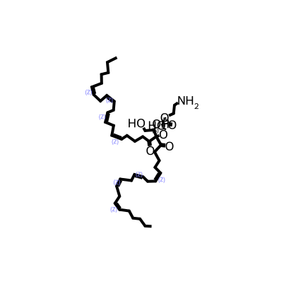 CCCCC/C=C\C/C=C\C/C=C\C/C=C\CCCC(=O)C(OP(=O)(O)OCCN)(C(=O)CCC/C=C\C/C=C\C/C=C\C/C=C\CCCCC)[C@@H](O)CO